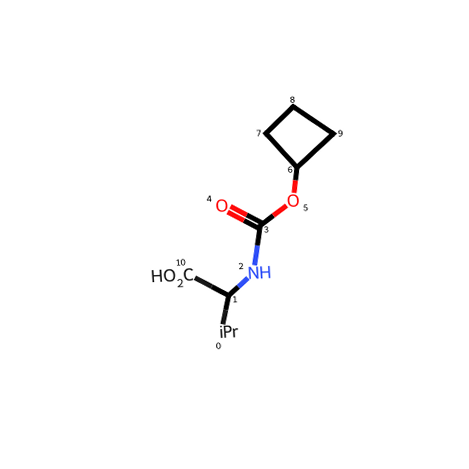 CC(C)C(NC(=O)OC1CCC1)C(=O)O